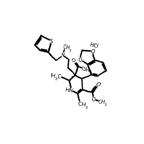 COC(=O)C1=C(C)NC(C)C(CCN(C)Cc2cccs2)(C(=O)O)C1c1cccc2c1OCO2.Cl